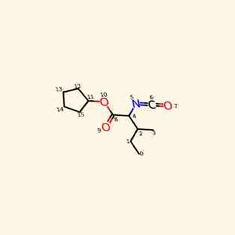 CCC(C)C(N=C=O)C(=O)OC1CCCC1